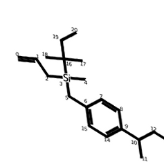 C=CC[Si](C)(Cc1ccc(C(C)CC)cc1)C(C)(C)CC